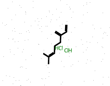 C=CC(=C)CCC=C(C)C.Cl.Cl